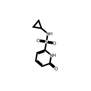 O=c1cccc(S(=O)(=O)NC2CC2)[nH]1